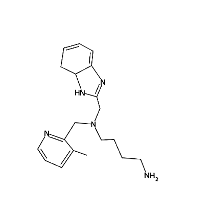 Cc1cccnc1CN(CCCCN)CC1=NC2=CC=CCC2N1